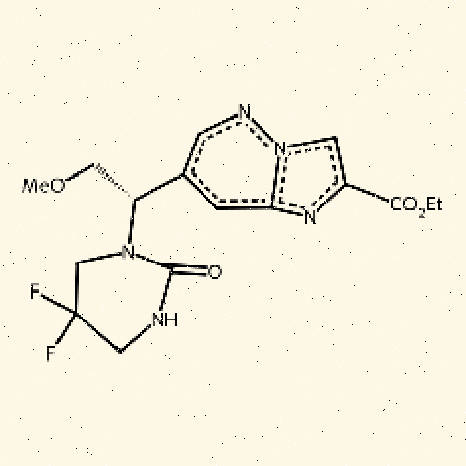 CCOC(=O)c1cn2ncc([C@@H](COC)N3CC(F)(F)CNC3=O)cc2n1